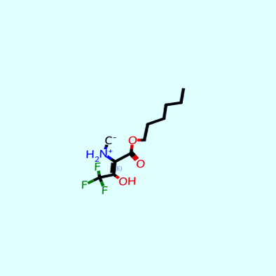 [CH2-][NH2+]/C(C(=O)OCCCCCC)=C(/O)C(F)(F)F